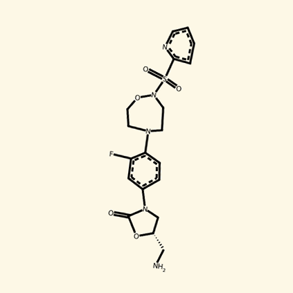 NC[C@H]1CN(c2ccc(N3CCON(S(=O)(=O)c4ccccn4)CC3)c(F)c2)C(=O)O1